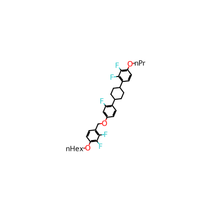 CCCCCCOc1ccc(COc2ccc(C3CCC(c4ccc(OCCC)c(F)c4F)CC3)c(F)c2)c(F)c1F